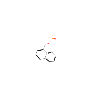 C[C@H](OP(=O)(O)O)c1cccc2ccccc12